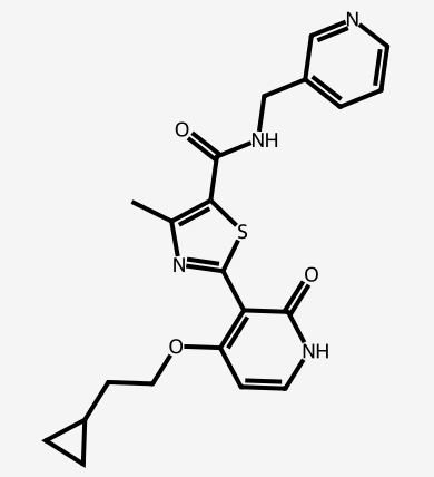 Cc1nc(-c2c(OCCC3CC3)cc[nH]c2=O)sc1C(=O)NCc1cccnc1